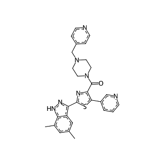 Cc1cc(C)c2[nH]nc(-c3nc(C(=O)N4CCN(Cc5ccncc5)CC4)c(-c4cccnc4)s3)c2c1